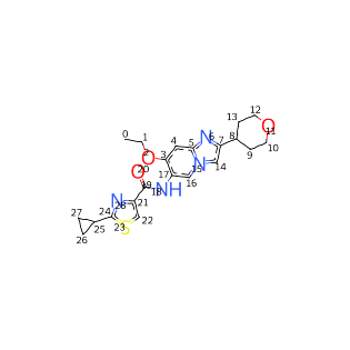 CCOc1cc2nc(C3CCOCC3)cn2cc1NC(=O)c1csc(C2CC2)n1